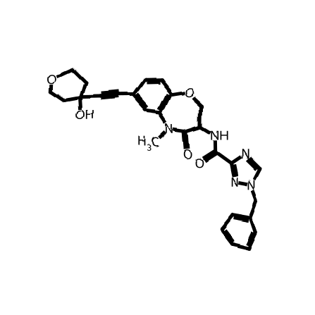 CN1C(=O)C(NC(=O)c2ncn(Cc3ccccc3)n2)COc2ccc(C#CC3(O)CCOCC3)cc21